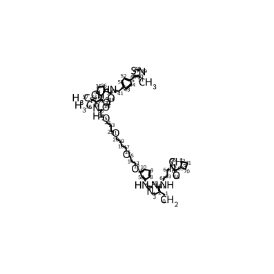 C=Cc1cnc(Nc2cccc(OCCCOCCCCOCCCOCC(=O)NC(C(=O)C3CCC[C@H]3C(=O)NCc3ccc(-c4scnc4C)cc3)C(C)(C)C)c2)nc1NCCCN(C)C(=O)C1CCC1